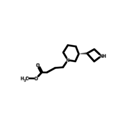 COC(=O)CCCN1CCC[C@H](C2CNC2)C1